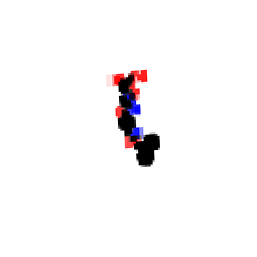 O=C(NCc1ccc(C(=O)NC2=NC(=O)N([C@H]3CC(O)[C@@H](CO)O3)CC2)cc1)OCC1c2ccccc2-c2ccccc21